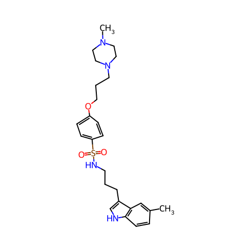 Cc1ccc2[nH]cc(CCCNS(=O)(=O)c3ccc(OCCCN4CCN(C)CC4)cc3)c2c1